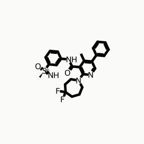 Cc1c(-c2ccccc2)cnc(N2CCCC(F)(F)CC2)c1C(=O)Nc1cccc([S@](C)(=N)=O)c1